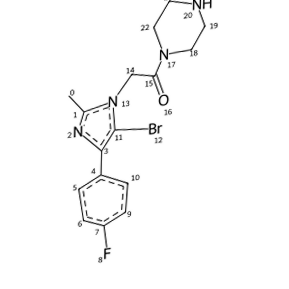 Cc1nc(-c2ccc(F)cc2)c(Br)n1CC(=O)N1CCNCC1